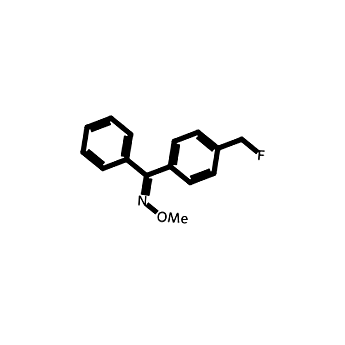 CO/N=C(/c1ccccc1)c1ccc(CF)cc1